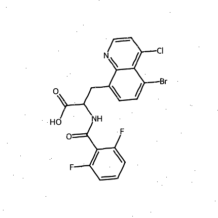 O=C(NC(Cc1ccc(Br)c2c(Cl)ccnc12)C(=O)O)c1c(F)cccc1F